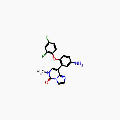 Cn1cc(-c2cc(N)ccc2Oc2ccc(F)cc2F)c2nccn2c1=O